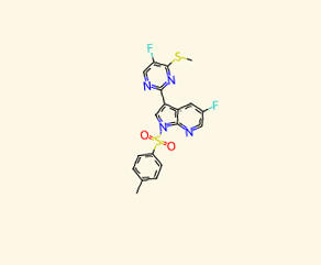 CSc1nc(-c2cn(S(=O)(=O)c3ccc(C)cc3)c3ncc(F)cc23)ncc1F